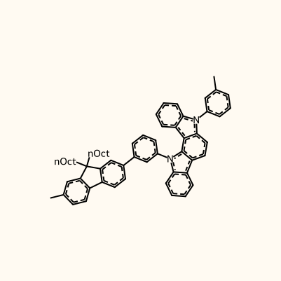 CCCCCCCCC1(CCCCCCCC)c2cc(C)ccc2-c2ccc(-c3cccc(-n4c5ccccc5c5ccc6c(c7ccccc7n6-c6cccc(C)c6)c54)c3)cc21